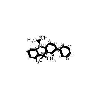 CC(C)N1c2ccccc2C(C)(C)c2cc(-c3ccccc3)ccc21